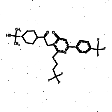 CC(C)(O)C1CCN(C(=O)Cn2c(CCCC(F)(F)F)nc(-c3ccc(C(F)(F)F)cc3)cc2=O)CC1